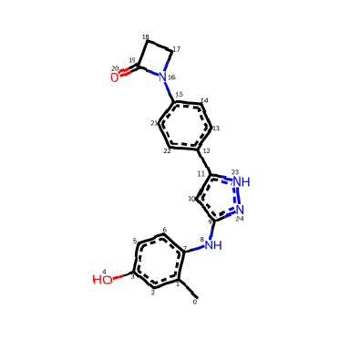 Cc1cc(O)ccc1Nc1cc(-c2ccc(N3CCC3=O)cc2)[nH]n1